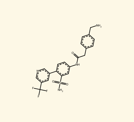 NCc1ccc(CC(=O)Nc2ccc(-c3cncc(C(F)(F)F)c3)c(S(N)(=O)=O)c2)cc1